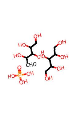 O=CC(O)C(O)C(O)CO.O=P(O)(O)O.OCC(O)C(O)C(O)CO